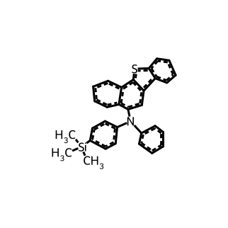 C[Si](C)(C)c1ccc(N(c2ccccc2)c2cc3c4ccccc4sc3c3ccccc23)cc1